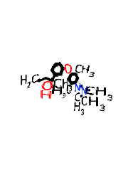 C=CCC(C)(O)c1cccc(Oc2cc(C)c(N=CN(C)C(C)C)cc2C)c1